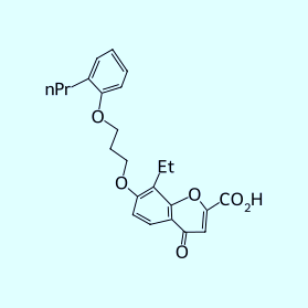 CCCc1ccccc1OCCCOc1ccc2c(=O)cc(C(=O)O)oc2c1CC